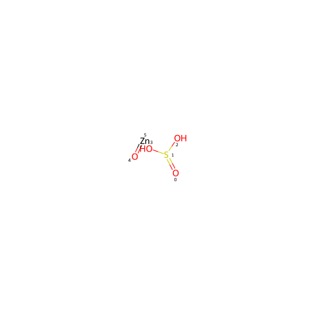 O=S(O)O.[O]=[Zn]